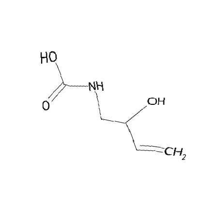 C=CC(O)CNC(=O)O